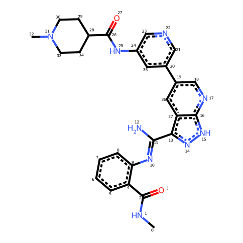 CNC(=O)c1ccccc1/N=C(\N)c1n[nH]c2ncc(-c3cncc(NC(=O)C4CCN(C)CC4)c3)cc12